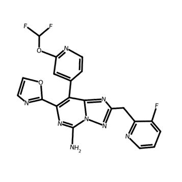 Nc1nc(-c2ncco2)c(-c2ccnc(OC(F)F)c2)c2nc(Cc3ncccc3F)nn12